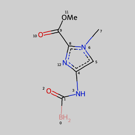 BC(=O)Nc1cn(C)c(C(=O)OC)n1